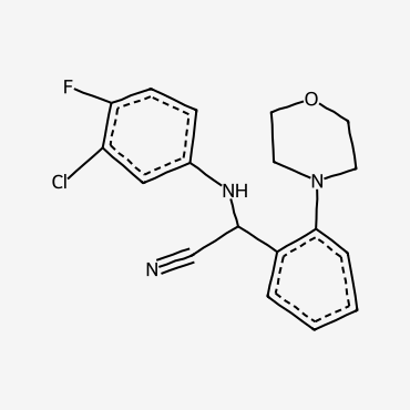 N#CC(Nc1ccc(F)c(Cl)c1)c1ccccc1N1CCOCC1